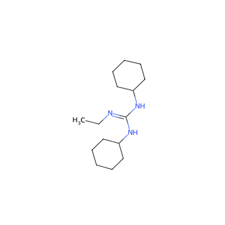 CCN=C(NC1CCCCC1)NC1CCCCC1